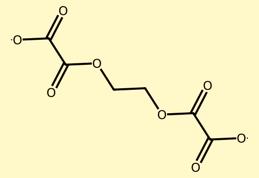 [O]C(=O)C(=O)OCCOC(=O)C([O])=O